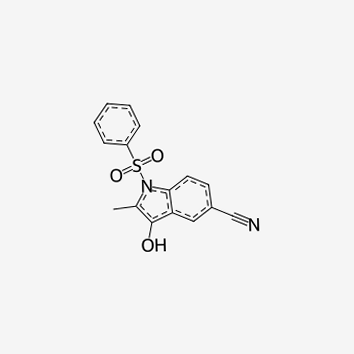 Cc1c(O)c2cc(C#N)ccc2n1S(=O)(=O)c1ccccc1